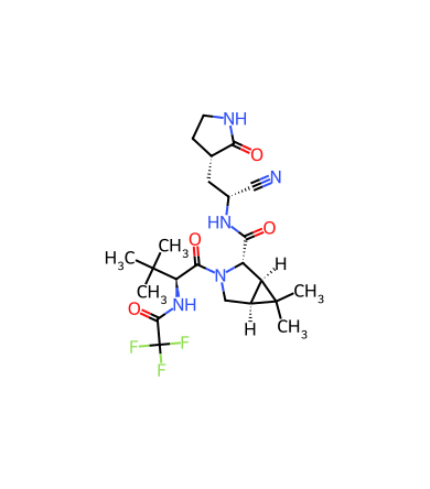 CC(C)(C)[C@H](NC(=O)C(F)(F)F)C(=O)N1C[C@H]2[C@@H]([C@H]1C(=O)N[C@@H](C#N)C[C@@H]1CCNC1=O)C2(C)C